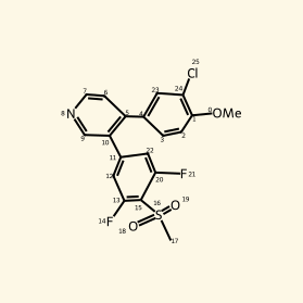 COc1ccc(-c2ccncc2-c2cc(F)c(S(C)(=O)=O)c(F)c2)cc1Cl